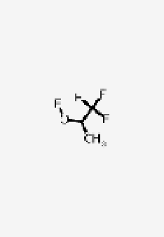 CC(OF)C(F)(F)F